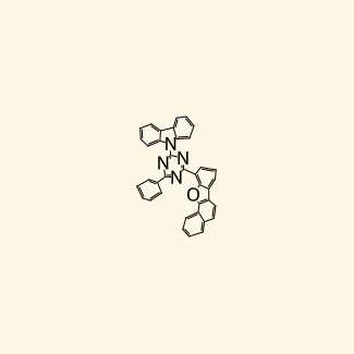 c1ccc(-c2nc(-c3cccc4c3oc3c5ccccc5ccc43)nc(-n3c4ccccc4c4ccccc43)n2)cc1